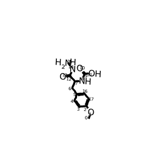 COc1ccc(CC(NC(=O)O)C(=O)NN)cc1